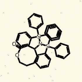 O=C1CC(N([Si](c2ccccc2)(c2ccccc2)c2ccccc2)[Si](c2ccccc2)(c2ccccc2)c2ccccc2)CCCCO1